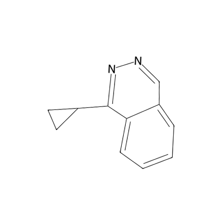 c1ccc2c(C3CC3)nncc2c1